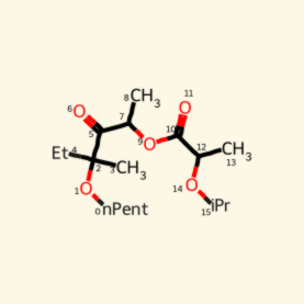 CCCCCOC(C)(CC)C(=O)C(C)OC(=O)C(C)OC(C)C